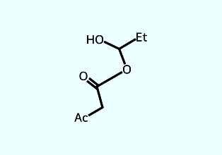 CCC(O)OC(=O)CC(C)=O